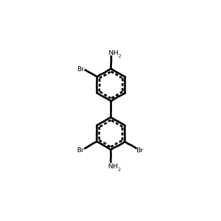 Nc1ccc(-c2cc(Br)c(N)c(Br)c2)cc1Br